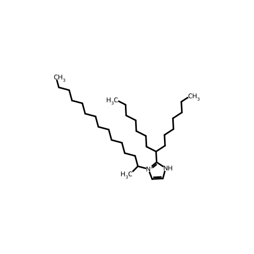 CCCCCCCCCCCCCC(C)[n+]1cc[nH]c1C(CCCCCCC)CCCCCCC